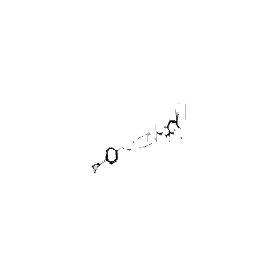 Clc1cnc2nc(N3CCN(CCc4ccc(C5CC5)cc4)CC3)oc2c1